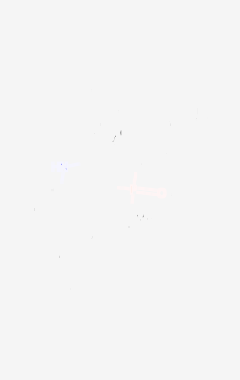 COP(=O)(c1cc(C)cc(C)c1)c1c(C(=O)O)[nH]c2ccc(Cl)cc12